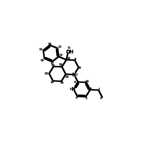 CCc1ccnc(N2CCC(O)(c3ccccc3)C3CCCCC32)c1